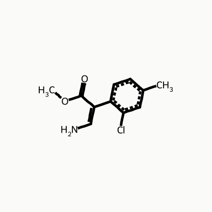 COC(=O)/C(=C\N)c1ccc(C)cc1Cl